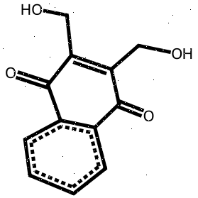 O=C1C(CO)=C(CO)C(=O)c2ccccc21